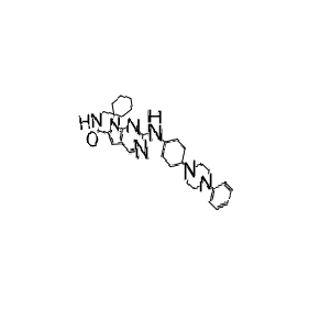 O=C1NCC2(CCCCC2)n2c1cc1cnc(NC3CCC(N4CCN(c5ccccc5)CC4)CC3)nc12